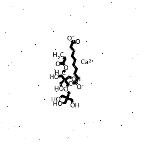 C=CC(=O)OC.O=C([O-])CCCCCCCCC(=O)[O-].OCC(CO)(CO)COCC(CO)(CO)CO.[Ca+2]